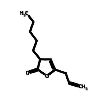 C=CCC1=CC(CCCCC)C(=O)O1